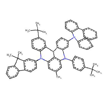 Cc1cc2c3c(c1)N(c1ccc(C(C)(C)C)cc1)c1cc(N(c4ccccc4)c4ccccc4-c4ccccc4)ccc1B3c1cc(C(C)(C)C)ccc1N2c1ccc2c(c1)C(C)(C)c1ccccc1-2